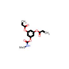 C=CC(=O)Oc1cc(OC(=O)C=C)cc(OC(=O)NSC)c1